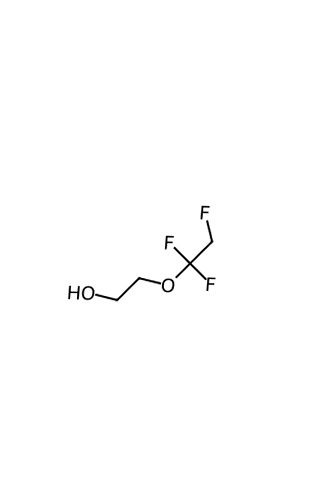 OCCOC(F)(F)CF